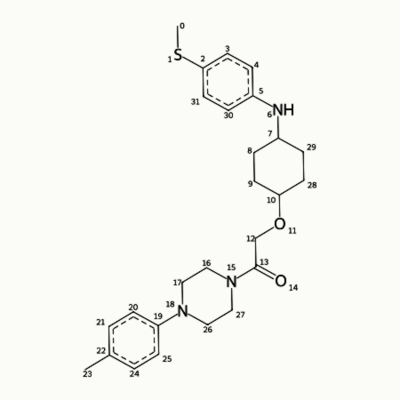 CSc1ccc(NC2CCC(OCC(=O)N3CCN(c4ccc(C)cc4)CC3)CC2)cc1